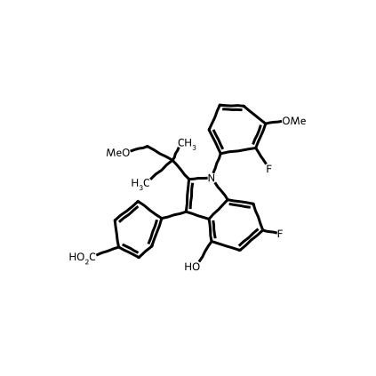 COCC(C)(C)c1c(-c2ccc(C(=O)O)cc2)c2c(O)cc(F)cc2n1-c1cccc(OC)c1F